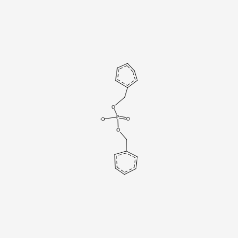 [O]P(=O)(OCc1ccccc1)OCc1ccccc1